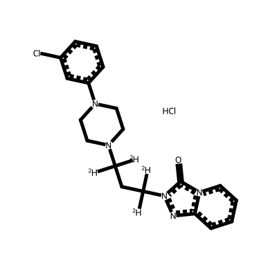 Cl.[2H]C([2H])(CC([2H])([2H])n1nc2ccccn2c1=O)N1CCN(c2cccc(Cl)c2)CC1